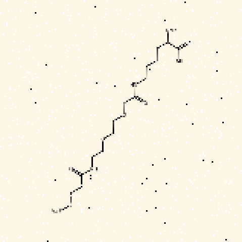 CNC(CCCCNC(=O)COCCOCCNC(=O)CCSSC)C(N)=O